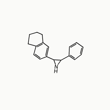 c1ccc(C2NC2c2ccc3c(c2)CCCC3)cc1